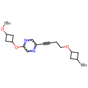 CC(C)(C)OC1CC(Oc2cnc(C#CCCOC3CC(C(C)(C)C)C3)cn2)C1